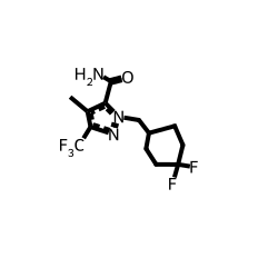 Cc1c(C(F)(F)F)nn(CC2CCC(F)(F)CC2)c1C(N)=O